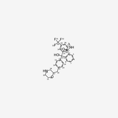 CNC(=O)c1ccccc1C(O)(c1ccc(CC2CNCCO2)cc1)c1cccc(C(F)(F)F)c1